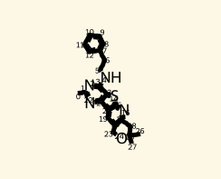 Cc1nc(NCCc2ccccc2)c2sc3nc4c(cc3c2n1)COC(C)(C)C4